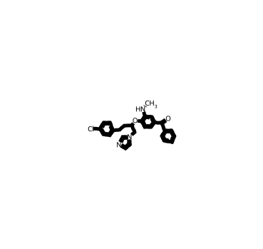 CNc1cc(C(=O)c2ccccc2)ccc1OC(CCc1ccc(Cl)cc1)Cn1ccnc1